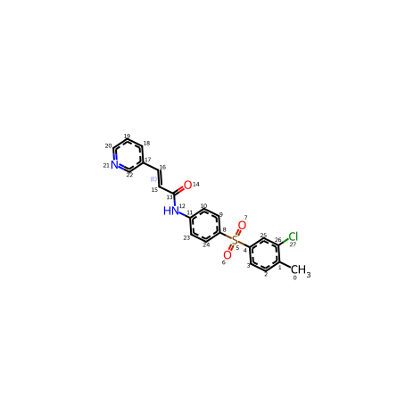 Cc1ccc(S(=O)(=O)c2ccc(NC(=O)/C=C/c3cccnc3)cc2)cc1Cl